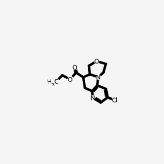 CCOC(=O)C1Cc2ncc(Cl)cc2N2CCOCC12